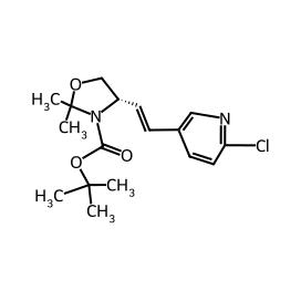 CC(C)(C)OC(=O)N1[C@@H](/C=C/c2ccc(Cl)nc2)COC1(C)C